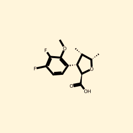 COc1c([C@@H]2[C@H](C)[C@H](C)O[C@H]2C(=O)O)ccc(F)c1F